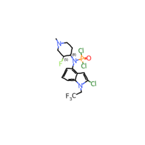 CN1CC[C@@H](N(c2cccc3c2cc(Cl)n3CC(F)(F)F)P(=O)(Cl)Cl)[C@@H](F)C1